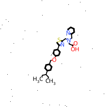 CCC(CC)c1ccc(COc2ccc(-c3csc(CN(CC(=O)O)Cc4ccccn4)n3)cc2)cc1